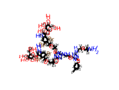 Cc1ccc(Oc2nc(NCCC(C)(C)OCC(C)(C)N)nc(OCCNc3nc(OCC(C)(C)COC(C)(C)c4c(Br)cc5[nH]cc(O[C@@H]6O[C@H](CO)[C@@H](O)[C@H](O)[C@H]6O)c5c4Br)nc(OC(C)(C)CCOC(C)(C)c4c(Br)cc5[nH]cc(O[C@@H]6O[C@H](CO)[C@@H](O)[C@H](O)[C@H]6O)c5c4Br)n3)n2)cc1